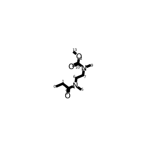 CCC(=O)N(C)CCN(C)C(=O)OC